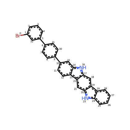 Brc1cccc(-c2ccc(-c3ccc4c(c3)[nH]c3cc5c(cc34)[nH]c3ccccc35)cc2)c1